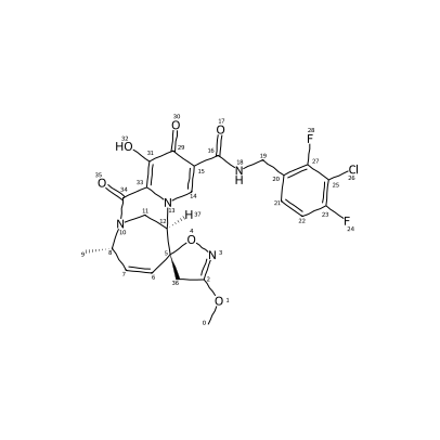 COC1=NO[C@@]2(C=C[C@H](C)N3C[C@H]2n2cc(C(=O)NCc4ccc(F)c(Cl)c4F)c(=O)c(O)c2C3=O)C1